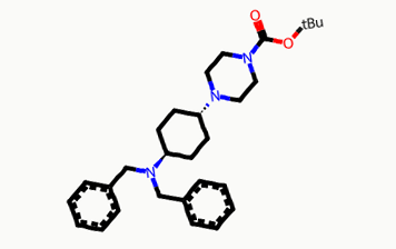 CC(C)(C)OC(=O)N1CCN([C@H]2CC[C@H](N(Cc3ccccc3)Cc3ccccc3)CC2)CC1